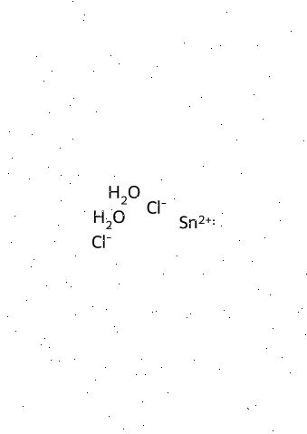 O.O.[Cl-].[Cl-].[Sn+2]